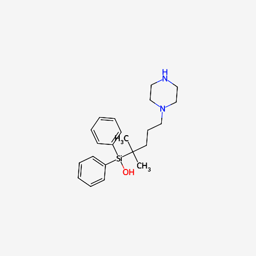 CC(C)(CCCN1CCNCC1)[Si](O)(c1ccccc1)c1ccccc1